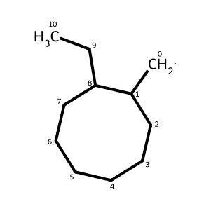 [CH2]C1CCCCCCC1CC